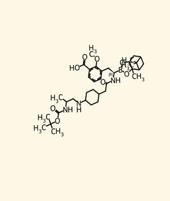 COc1c(C[C@H](NC(=O)CC2CCC(NCC(C)NC(=O)OC(C)(C)C)CC2)B2OC3CC4CC(C4(C)C)C3(C)O2)cccc1C(=O)O